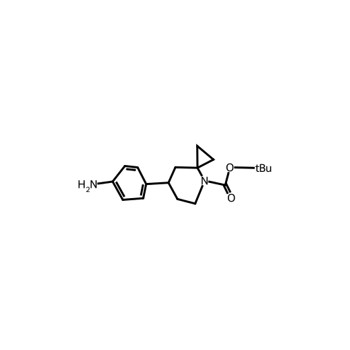 CC(C)(C)OC(=O)N1CCC(c2ccc(N)cc2)CC12CC2